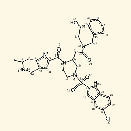 CC1Cc2nc(C(=O)N3CCN(S(=O)(=O)c4cc5cc(Cl)ccc5[nH]4)CC3CC(=O)N(CCO)Cc3ccccc3)sc2CN1